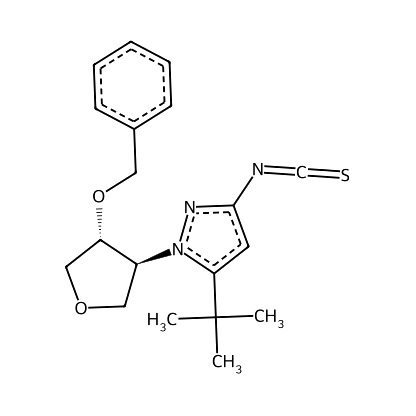 CC(C)(C)c1cc(N=C=S)nn1[C@H]1COC[C@@H]1OCc1ccccc1